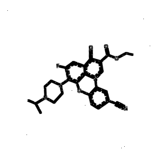 CCOC(=O)c1cn2c3c(c(N4CCN(C(C)C)CC4)c(F)cc3c1=O)Oc1ccc(C#N)cc1-2